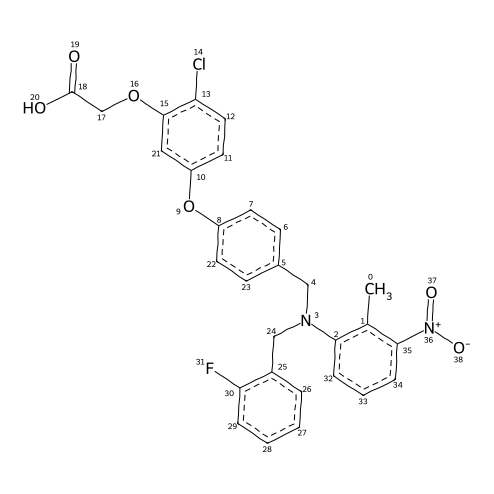 Cc1c(N(Cc2ccc(Oc3ccc(Cl)c(OCC(=O)O)c3)cc2)Cc2ccccc2F)cccc1[N+](=O)[O-]